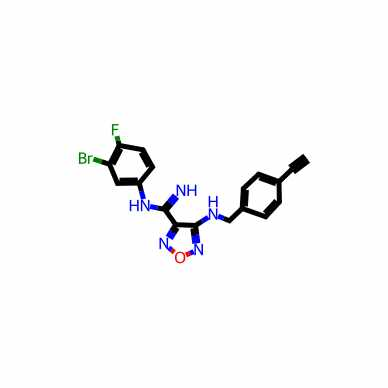 C#Cc1ccc(CNc2nonc2C(=N)Nc2ccc(F)c(Br)c2)cc1